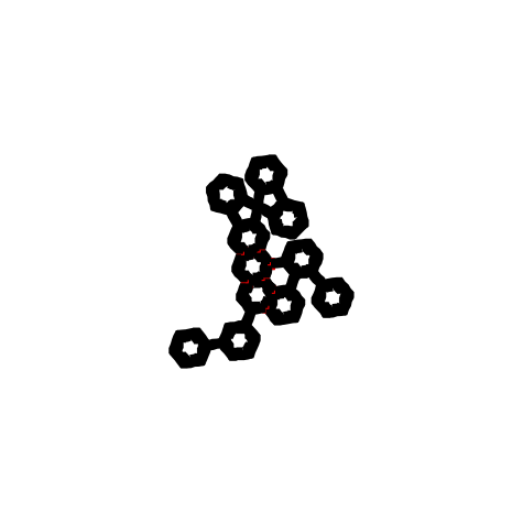 c1ccc(-c2cccc(-c3ccc(N(c4ccc5c(c4)C4(c6ccccc6-c6ccccc64)c4ccccc4-5)c4cccc(-c5ccccc5)c4-c4ccccc4-c4ccccc4)cc3)c2)cc1